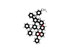 Cc1ccc(-n2c3ccccc3c3cc(-c4cc(N(c5ccccc5)c5ccccc5)cc(N(c5ccc(-c6ccccc6)cc5)c5ccccc5-c5ccccc5)c4)c4c5ccccc5oc4c32)cc1